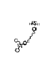 N=C(NO)c1ccc(OCCCCCOc2ccc(-c3nc(C4CCCCC4)sc3CC3CCCC3)cc2)cc1